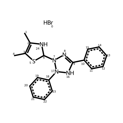 Br.CC1=C(C)SC(N2N=C(c3ccccc3)NN2c2ccccc2)N1